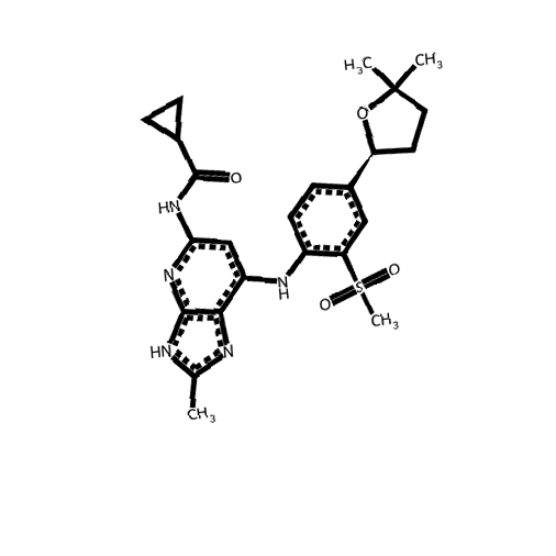 Cc1nc2c(Nc3ccc([C@@H]4CCC(C)(C)O4)cc3S(C)(=O)=O)cc(NC(=O)C3CC3)nc2[nH]1